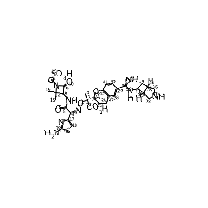 CC(ON=C(C(=O)NC1C(=O)N(OS(=O)(=O)O)C1(C)C)c1csc(N)n1)(C(=O)O)[C@H]1CCc2cc(C(=N)NC3C[C@@H]4CNC[C@H]34)ccc2O1